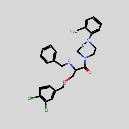 Cc1ccccc1N1CCN(C(=O)C(COCc2ccc(Cl)c(Cl)c2)NCc2ccccc2)CC1